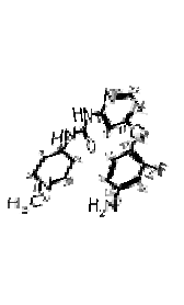 CN1CCC(NC(=O)Nc2cc(Oc3ccc(N)cc3F)ncn2)CC1